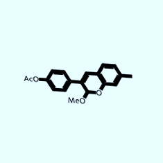 COC1Oc2cc(C)ccc2C=C1c1ccc(OC(C)=O)cc1